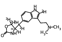 [2H]c1[nH]c2ccc(C([2H])([2H])[C@]3([2H])NC(=O)OC3([2H])[2H])cc2c1CCN(C)C